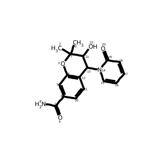 CC1(C)Oc2cc(C(N)=O)ccc2C(n2ccccc2=O)C1O